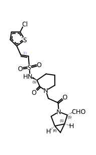 O=C[C@@H]1[C@H]2C[C@H]2CN1C(=O)CN1CCC[C@H](NS(=O)(=O)/C=C/c2ccc(Cl)s2)C1=O